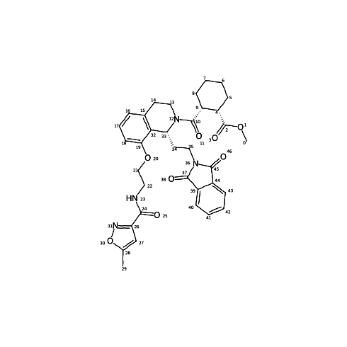 COC(=O)[C@H]1CCCC[C@H]1C(=O)N1CCc2cccc(OCCNC(=O)c3cc(C)on3)c2[C@H]1CCN1C(=O)c2ccccc2C1=O